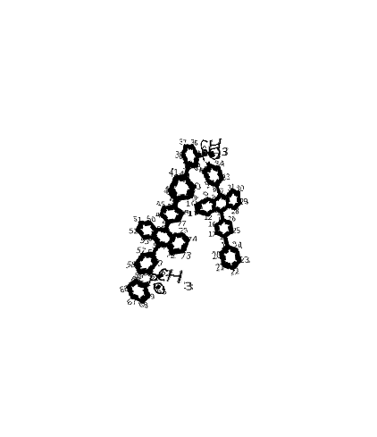 CP(=O)(c1ccc(-c2c3ccccc3c(-c3ccc(-c4ccccc4)cc3)c3ccccc23)cc1)c1cccc(-c2ccc(-c3ccc(-c4c5ccccc5c(-c5cccc(P(C)(=O)c6ccccc6)c5)c5ccccc45)cc3)cc2)c1